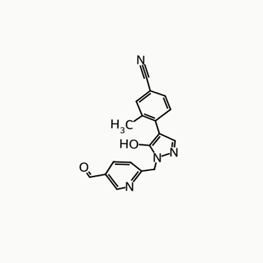 Cc1cc(C#N)ccc1-c1cnn(Cc2ccc(C=O)cn2)c1O